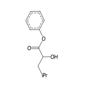 CC(C)CC(O)C(=O)Oc1ccccc1